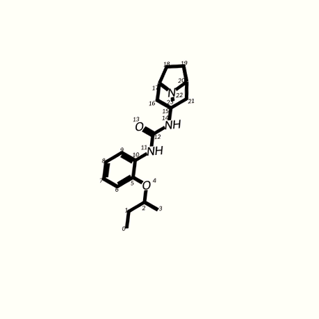 CCC(C)Oc1ccccc1NC(=O)NC1CC2CCC(C1)N2C